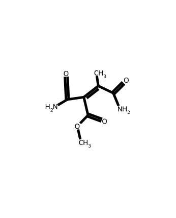 COC(=O)/C(C(N)=O)=C(/C)C(N)=O